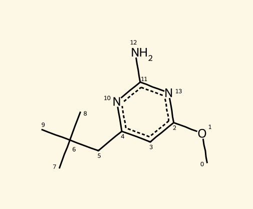 COc1cc(CC(C)(C)C)nc(N)n1